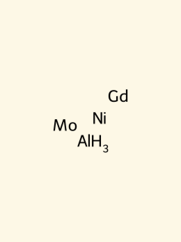 [AlH3].[Gd].[Mo].[Ni]